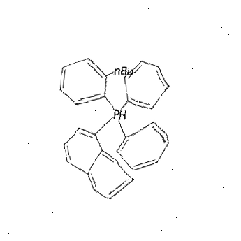 CCCCc1ccccc1[PH](c1ccccc1)(c1ccccc1)c1cccc2ccccc12